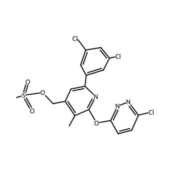 Cc1c(COS(C)(=O)=O)cc(-c2cc(Cl)cc(Cl)c2)nc1Oc1ccc(Cl)nn1